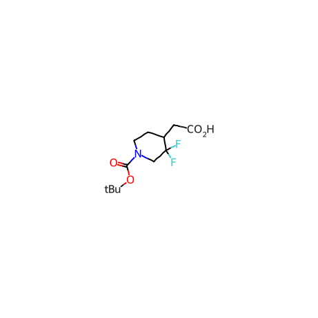 CC(C)(C)OC(=O)N1CCC(CC(=O)O)C(F)(F)C1